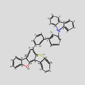 c1cc(-c2cccc(-n3c4ccccc4c4ccccc43)c2)cc(-c2cc3c4ccccc4oc3c3c2sc2ccccc23)c1